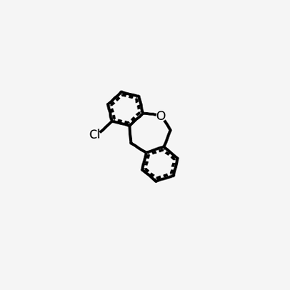 Clc1cccc2c1Cc1ccccc1CO2